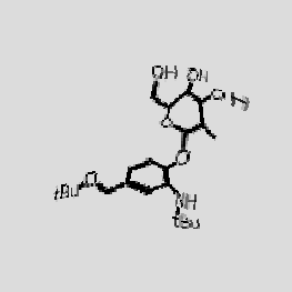 CC1C(Oc2ccc(COC(C)(C)C)cc2NC(C)(C)C)OC(CO)C(O)C1O